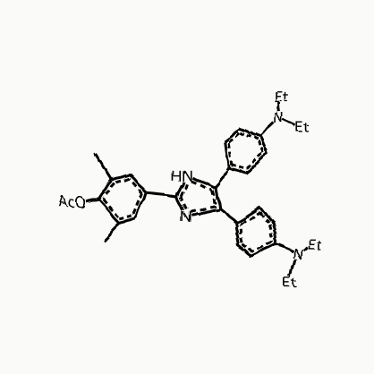 CCN(CC)c1ccc(-c2nc(-c3cc(C)c(OC(C)=O)c(C)c3)[nH]c2-c2ccc(N(CC)CC)cc2)cc1